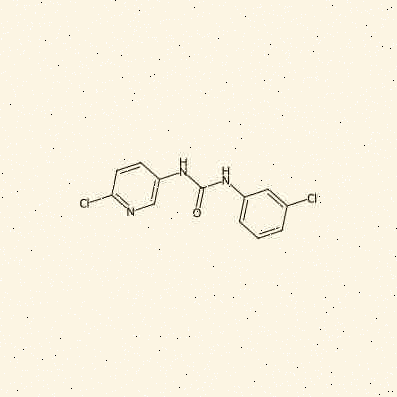 O=C(Nc1ccc(Cl)nc1)Nc1cccc(Cl)c1